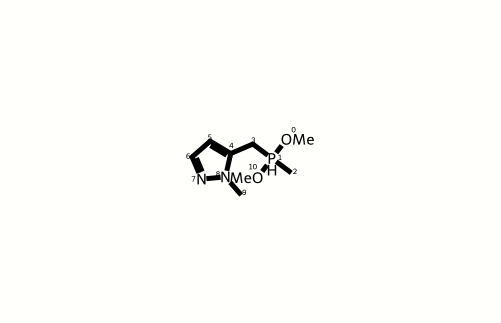 CO[PH](C)(Cc1ccnn1C)OC